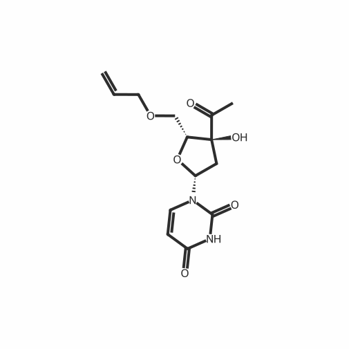 C=CCOC[C@H]1O[C@@H](n2ccc(=O)[nH]c2=O)C[C@@]1(O)C(C)=O